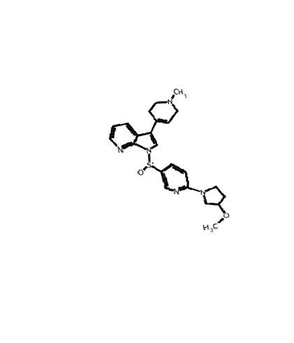 COC1CCN(c2ccc([S+]([O-])n3cc(C4=CCN(C)CC4)c4cccnc43)cn2)C1